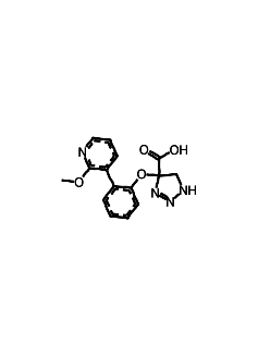 COc1ncccc1-c1ccccc1OC1(C(=O)O)CNN=N1